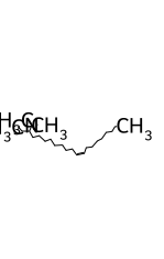 CCCCCCCC/C=C\CCCCCCCCC(CC)N(C)C